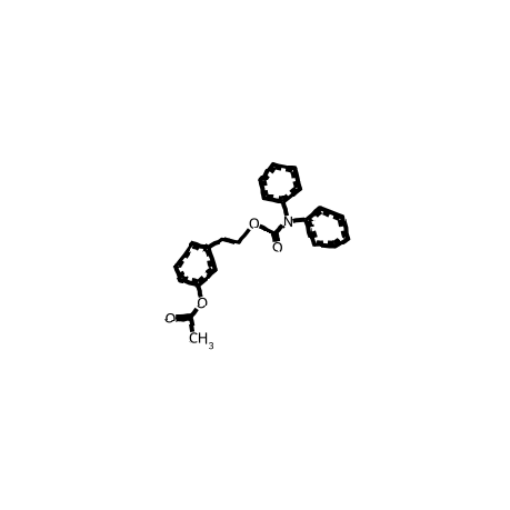 CC(=O)Oc1cccc(CCOC(=O)N(c2ccccc2)c2ccccc2)c1